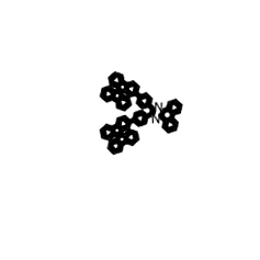 c1ccc2c(c1)-c1ccccc1C21c2ccccc2-c2ccc(-c3ccc(-c4nc5c6ccccc6c6ccccc6c5nc4-c4ccc(-c5ccc6c(c5)C5(c7ccccc7-c7ccccc75)c5ccccc5-6)cc4)cc3)cc21